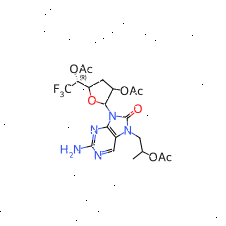 CC(=O)OC(C)Cn1c(=O)n(C2OC([C@@H](OC(C)=O)C(F)(F)F)CC2OC(C)=O)c2nc(N)ncc21